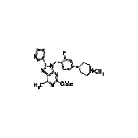 COc1nc(C)c2nc(-c3cccnc3)n(Cc3ccc(C4CCN(C)CC4)cc3F)c2n1